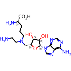 NCCN(CCC[C@H](N)C(=O)O)C[C@H]1O[C@@H](n2cnc3c(N)ncnc32)[C@H](O)[C@@H]1O